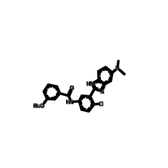 CC(C)COc1cccc(C(=O)Nc2ccc(Cl)c(-c3nc4cc(N(C)C)ccc4[nH]3)c2)c1